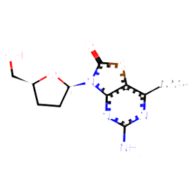 CNc1nc(N)nc2c1sc(=O)n2[C@H]1CC[C@@H](CO)O1